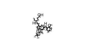 CCC(CCCO)NCc1cnn2c(N(C)C(=O)OC(C)(C)C)cc(Nc3cccnc3OC)nc12